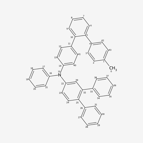 Cc1ccc(-c2ccccc2-c2ccc(N(c3ccccc3)c3ccc(-c4ccccc4)c(-c4ccccc4)c3)cc2)cc1